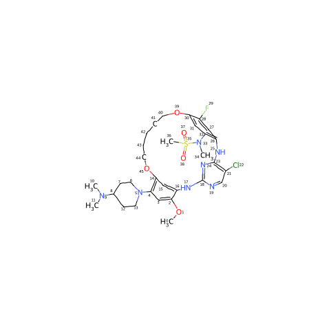 COc1cc(N2CCC(N(C)C)CC2)c2cc1Nc1ncc(Cl)c(n1)Nc1cc(F)c(cc1N(C)S(C)(=O)=O)OCCCCCO2